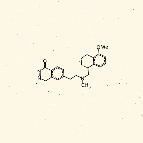 COc1cccc2c1CCCC2CN(C)CCc1ccc2c(c1)CN=NC2=O